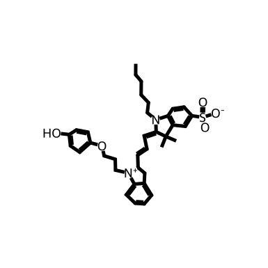 CCCCCCN1/C(=C/C=C/C2=[N+](CCCOc3ccc(O)cc3)c3ccccc3C2)C(C)(C)c2cc(S(=O)(=O)[O-])ccc21